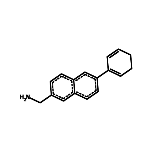 NCc1ccc2cc(C3=CCCC=C3)ccc2c1